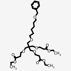 CCOC(=O)CCOCC(COCCCCCCOCc1ccccc1)(COCCC(=O)OCC)COCCC(=O)OCC